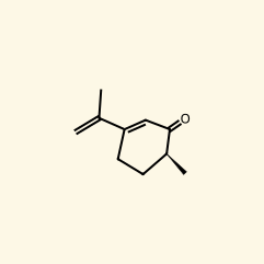 C=C(C)C1=CC(=O)[C@@H](C)CC1